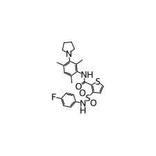 Cc1cc(C)c(N2CCCC2)c(C)c1NC(=O)c1sccc1S(=O)(=O)Nc1ccc(F)cc1